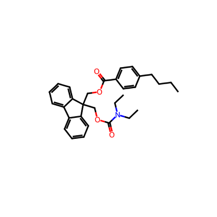 CCCCc1ccc(C(=O)OCC2(COC(=O)N(CC)CC)c3ccccc3-c3ccccc32)cc1